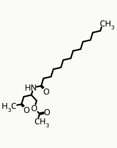 CCCCCCCCCCCCCC(=O)NC(COC(C)=O)CC(C)=O